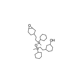 C[Si](CCC1CCCC(O)C1)(O[Si](C)(CCC1CCC2OC2C1)C1CCCCC1)C1CCCCC1